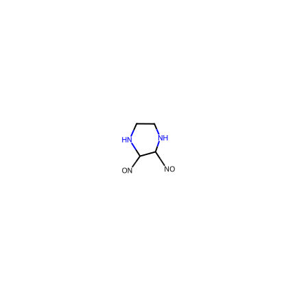 O=NC1NCCNC1N=O